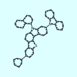 c1ccc(-c2ccc3sc4c(ccc5c4c4ccc(-n6c7ccccc7c7ccccc76)cc4n5-c4cccc5ccccc45)c3c2)cc1